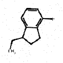 CCC1CCc2c(F)cccc21